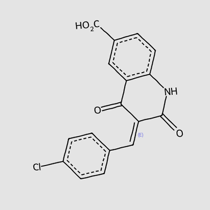 O=C1Nc2ccc(C(=O)O)cc2C(=O)/C1=C\c1ccc(Cl)cc1